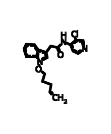 C=CCCCOn1cc(CC(=O)Nc2ccncc2Cl)c2ccccc21